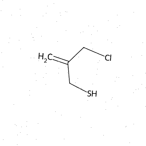 C=C(CS)CCl